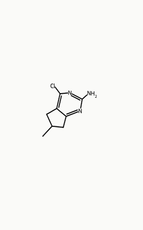 CC1Cc2nc(N)nc(Cl)c2C1